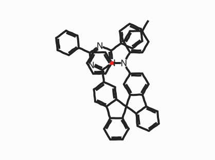 CC1C=CC(N(c2ccccc2)c2ccc3c(c2)C2(c4ccccc4-c4ccc(-c5nc(-c6ccccc6)nc(-c6ccccc6)n5)cc42)c2ccccc2-3)=CC1